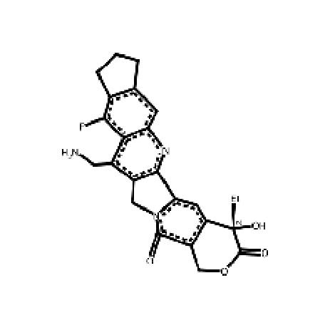 CC[C@@]1(O)C(=O)OCc2c1cc1n(c2=O)Cc2c-1nc1cc3c(c(F)c1c2CN)CCC3